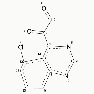 O=CC(=O)c1ncnc2cccc(Cl)c12